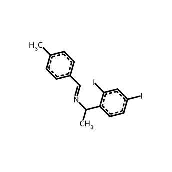 Cc1ccc(C=NC(C)c2ccc(I)cc2I)cc1